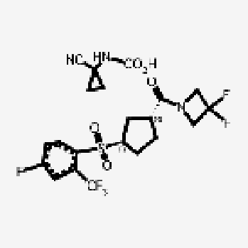 N#CC1(NC(=O)O)CC1.O=C([C@@H]1CC[C@@H](S(=O)(=O)c2ccc(F)cc2C(F)(F)F)C1)N1CC(F)(F)C1